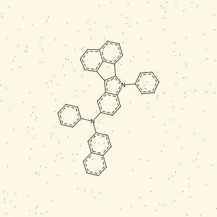 c1ccc(N(c2ccc3ccccc3c2)c2ccc3c(c2)c2c(n3-c3ccccc3)-c3cccc4cccc-2c34)cc1